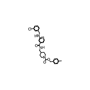 Cc1ccc(COC(=O)N2CCC(CNC(=O)c3ccnc(NCc4cccc(Cl)c4)c3)CC2)cc1